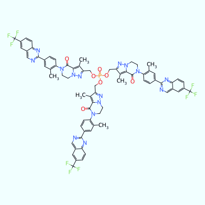 Cc1cc(-c2ncc3cc(C(F)(F)F)ccc3n2)ccc1N1CCn2nc(COP(=O)(OCc3nn4c(c3C)C(=O)N(c3ccc(-c5ncc6cc(C(F)(F)F)ccc6n5)cc3C)CC4)OCc3nn4c(c3C)C(=O)N(c3ccc(-c5ncc6cc(C(F)(F)F)ccc6n5)cc3C)CC4)c(C)c2C1=O